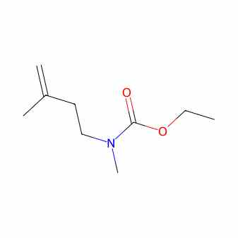 C=C(C)CCN(C)C(=O)OCC